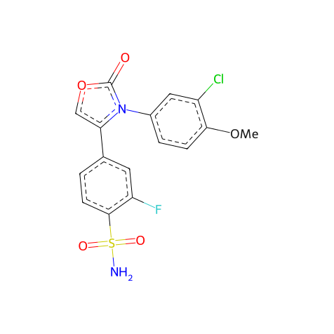 COc1ccc(-n2c(-c3ccc(S(N)(=O)=O)c(F)c3)coc2=O)cc1Cl